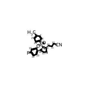 Cc1ccc(S(=O)(=O)N2[C@@H](CCCC#N)CC[C@H]2c2ccc(F)cc2)cc1